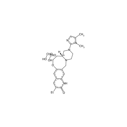 CCc1cc2cc3c(cc2[nH]c1=O)CN1CCN(c2ncc(C)n2C)C[C@H]1CCO3.O=CO.O=CO